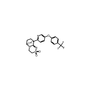 O=S1(=O)CCN2C(=N1)C1(c3ccc(Oc4ccc(C(F)(F)F)cc4)cn3)CCC2CC1